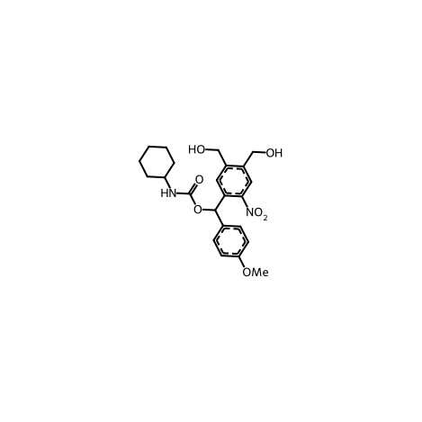 COc1ccc(C(OC(=O)NC2CCCCC2)c2cc(CO)c(CO)cc2[N+](=O)[O-])cc1